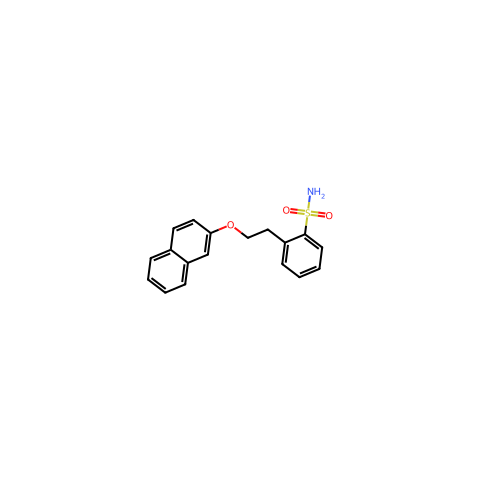 NS(=O)(=O)c1ccccc1CCOc1ccc2ccccc2c1